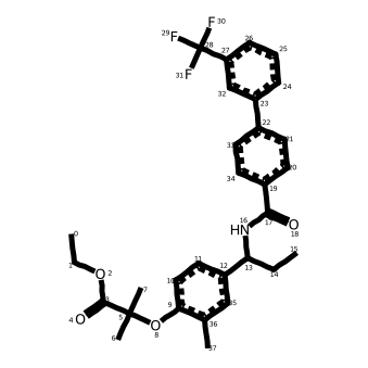 CCOC(=O)C(C)(C)Oc1ccc(C(CC)NC(=O)c2ccc(-c3cccc(C(F)(F)F)c3)cc2)cc1C